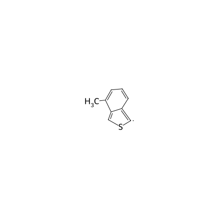 Cc1cccc2[c]scc12